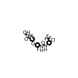 O=C(Nc1ccc(Cl)c(C(F)(F)F)c1)Nc1ccc(Oc2ccnc(C(=O)NCO)c2)cc1F